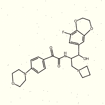 O=C(NC(CN1CCC1)C(O)c1cc(F)c2c(c1)OCCO2)C(=O)c1ccc(N2CCOCC2)cc1